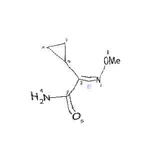 CO/N=C(/C(N)=O)C1CC1